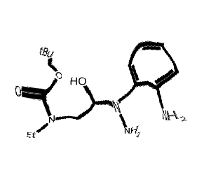 CCN(CC(O)N(N)c1ccccc1N)C(=O)OC(C)(C)C